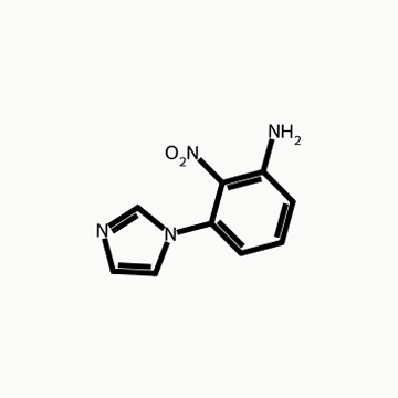 Nc1cccc(-n2ccnc2)c1[N+](=O)[O-]